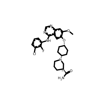 COc1cc2ncnc(Nc3cccc(Cl)c3F)c2cc1O[C@H]1CC[C@@H](N2CCC[C@H](C(N)=O)C2)CC1